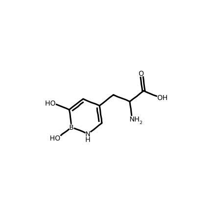 NC(CC1=CNB(O)C(O)=C1)C(=O)O